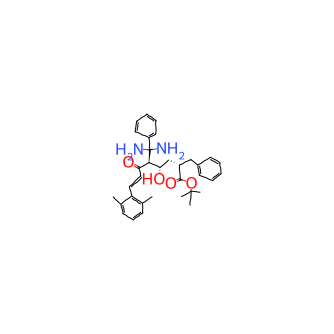 Cc1cccc(C)c1C=CC(=O)[C@H]([C@@H](O)C[C@H](Cc1ccccc1)C(=O)OC(C)(C)C)C(N)(N)c1ccccc1